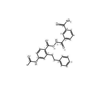 CC(=O)Nc1ccc(C(=O)ONC(=O)c2cccc(C(=N)N)c2)c(CCc2ccccc2)c1